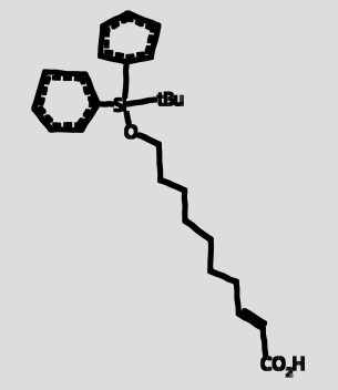 CC(C)(C)[Si](OCCCCCCC/C=C/C(=O)O)(c1ccccc1)c1ccccc1